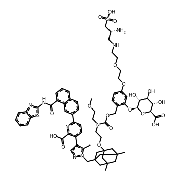 COCCN(CCOC12CC3(C)CC(C)(CC(Cn4ncc(-c5ccc(-c6ccc7cccc(C(=O)Nc8nc9ccccc9s8)c7c6)nc5C(=O)O)c4C)(C3)C1)C2)C(=O)OCc1ccc(OCCOCCNC[C@@H](N)CS(=O)(=O)O)cc1O[C@@H]1O[C@H](C(=O)O)[C@@H](O)[C@H](O)[C@H]1O